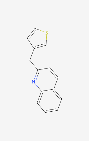 c1ccc2nc(Cc3ccsc3)ccc2c1